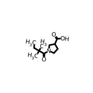 CCC(C)(C)C(=O)N1CCC(C(=O)O)C1